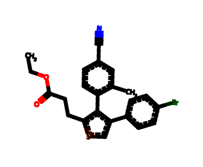 CCOC(=O)CCc1scc(-c2ccc(Br)cc2)c1-c1ccc(C#N)cc1C